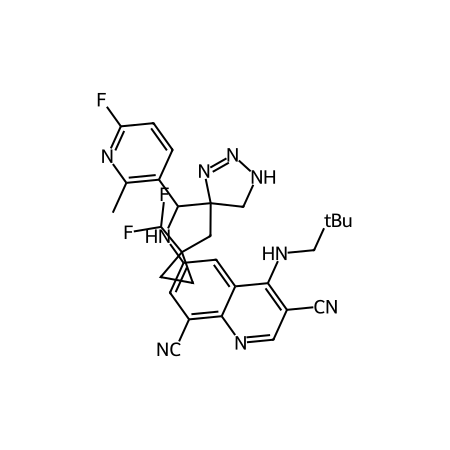 Cc1nc(F)ccc1C(Nc1cc(C#N)c2ncc(C#N)c(NCC(C)(C)C)c2c1)C1(CC2(C(F)F)CC2)CNN=N1